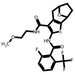 COCCNC(=O)c1c(NC(=O)c2c(F)cccc2C(F)(F)F)sc2c1CC1CCC2O1